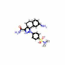 CCN(CC)S(=O)(=O)c1ccc(-n2nc(C(N)=O)c3c2-c2cc(N)ccc2CC3)cc1